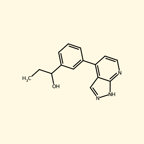 CCC(O)c1cccc(-c2ccnc3[nH]ncc23)c1